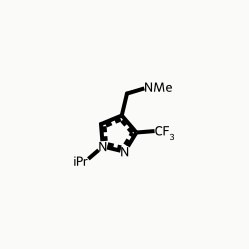 CNCc1cn(C(C)C)nc1C(F)(F)F